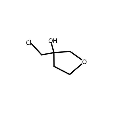 OC1(CCl)CCOC1